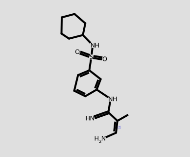 C/C(=C/N)C(=N)Nc1cccc(S(=O)(=O)NC2CCCCC2)c1